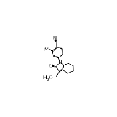 CCC1=C2CCCCC2N(c2ccc(C#N)c(Br)c2)C1=O